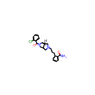 NC(=O)c1ccccc1[CH]CCN1CC2CN(C(=O)c3ccccc3Cl)C[C@@H]2C1